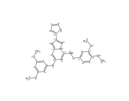 COc1cc(OC)cc(Oc2cc3nc(-c4ccco4)nn3c(NCc3ccc(OC)c(OC)c3)n2)c1